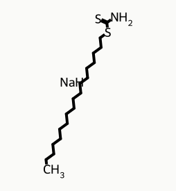 CCCCCCCCCCCCCCCCCCSC(N)=S.[NaH]